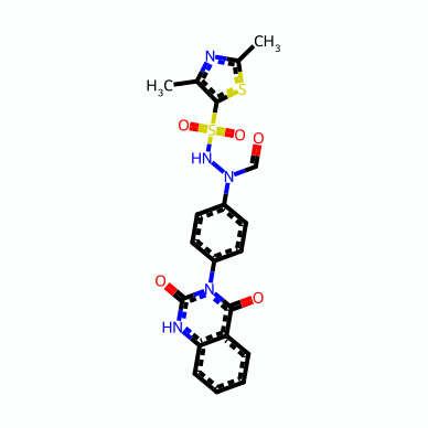 Cc1nc(C)c(S(=O)(=O)NN(C=O)c2ccc(-n3c(=O)[nH]c4ccccc4c3=O)cc2)s1